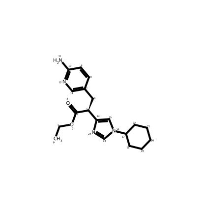 CCOC(=O)[C@@H](Cc1ccc(N)nc1)c1cn(C2CCCCC2)cn1